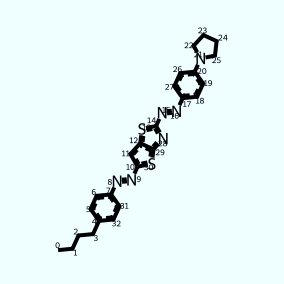 CCCCc1ccc(N=Nc2cc3sc(N=Nc4ccc(N5CCCC5)cc4)nc3s2)cc1